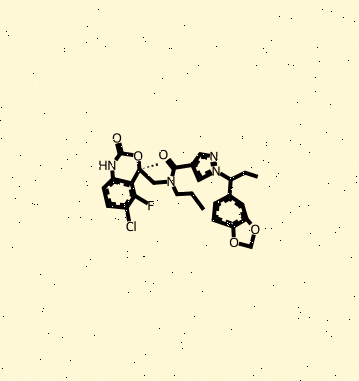 CCCN(C[C@]1(C)OC(=O)Nc2ccc(Cl)c(F)c21)C(=O)c1cnn(C(CC)c2ccc3c(c2)OCO3)c1